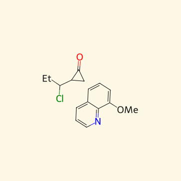 CCC(Cl)C1CC1=O.COc1cccc2cccnc12